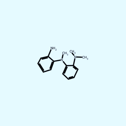 CN(C)c1ccccc1N(C)c1ccccc1N